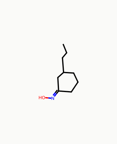 CCCC1CCCC(=NO)C1